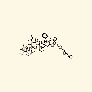 CC[C@H](C)[C@@H]([C@@H](CC(=O)N1CCC[C@H]1[C@H](OC)[C@@H](C)C(=O)N[C@@H](Cc1ccccc1)C(=O)OCCOCCOCCOC)OC)N(C)C(=O)[C@@H](NC(=O)[C@H](C(C)C)N(C)C(C)S)C(C)C